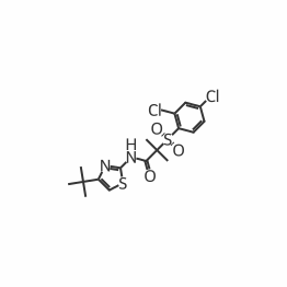 CC(C)(C)c1csc(NC(=O)C(C)(C)S(=O)(=O)c2ccc(Cl)cc2Cl)n1